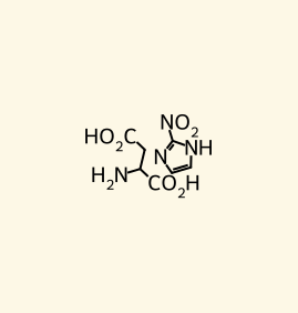 NC(CC(=O)O)C(=O)O.O=[N+]([O-])c1ncc[nH]1